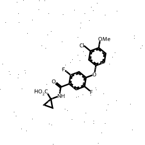 COc1ccc(Oc2cc(F)c(C(=O)NC3(C(=O)O)CC3)cc2F)cc1Cl